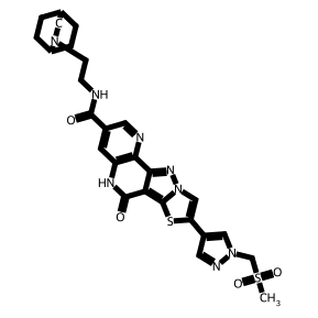 CS(=O)(=O)Cn1cc(-c2cn3nc4c5ncc(C(=O)NCCN6CC7CCC6CC7)cc5[nH]c(=O)c4c3s2)cn1